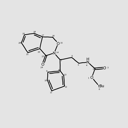 CC(C)(C)OC(=O)NCCC(c1ccccc1)N1OCc2ccccc2C1=O